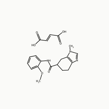 COc1ccccc1NC(=O)C1CCc2ncn(C)c2C1.O=C(O)C=CC(=O)O